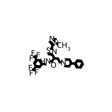 Cn1cncc1-c1nc(C(CCN2CCC(c3ccccc3)CC2)C(=O)NCc2cc(C(F)(F)F)cc(C(F)(F)F)c2)cs1